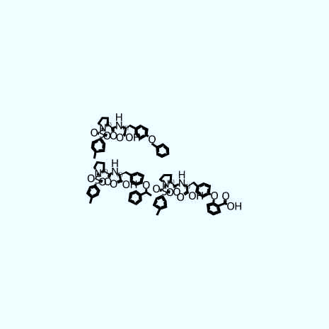 Cc1ccc(S(=O)(=O)N2CCC[C@H]2C(=O)N[C@@H](Cc2ccc(OC(C)c3ccccc3)cc2)C(=O)O)cc1.Cc1ccc(S(=O)(=O)N2CCC[C@H]2C(=O)N[C@@H](Cc2ccc(OCc3ccccc3)cc2)C(=O)O)cc1.Cc1ccc(S(=O)(=O)N2CCC[C@H]2C(=O)N[C@@H](Cc2ccc(Oc3ccccc3C(=O)O)cc2)C(=O)O)cc1